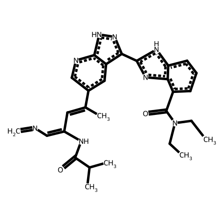 C=N/C=C(\C=C(/C)c1cnc2[nH]nc(-c3nc4c(C(=O)N(CC)CC)cccc4[nH]3)c2c1)NC(=O)C(C)C